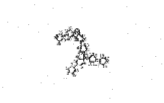 C1=CCC(c2ccc(N(c3ccc(-c4ccccc4)cc3)c3ccc(-c4ccc5oc6ccc(-c7ccccc7)cc6c5c4)cc3)cc2)C=C1